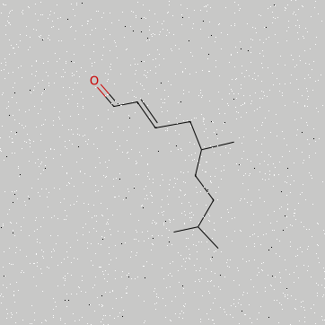 CC(C)CCC(C)C/C=C/C=O